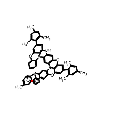 Cc1cc(C)c(-c2cc3c4c(c2)Oc2ccccc2B4c2cc4c(cc2N3)Oc2cc(-c3c(C)cc(C)cc3C)cc3c2B4c2cc4c(cc2O3)Oc2cc(C)cc3c2B4c2ccccc2O3)c(C)c1